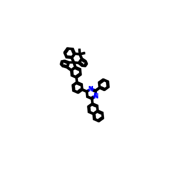 CC1(C)c2ccccc2C2(c3ccccc3-c3cc(-c4cccc(C5CC(c6ccc7ccccc7c6)=NC(c6ccccc6)=N5)c4)ccc32)c2ccccc21